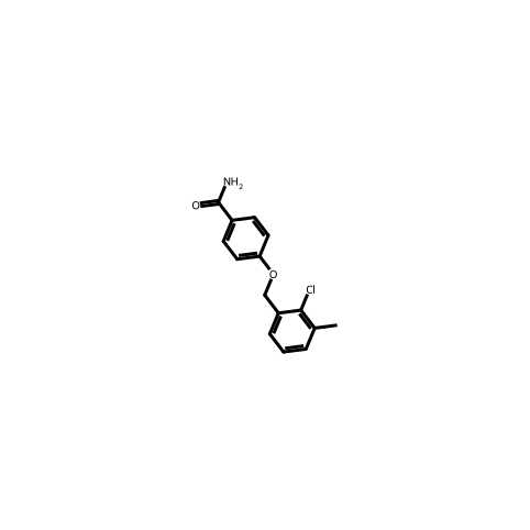 Cc1cccc(COc2ccc(C(N)=O)cc2)c1Cl